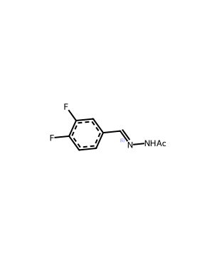 CC(=O)N/N=C/c1ccc(F)c(F)c1